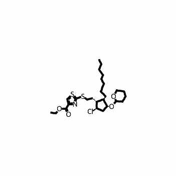 CCCCCCCC[C@@H]1[C@@H](CCSc2nc(C(=O)OCC)cs2)[C@H](Cl)C[C@H]1OC1CCCCO1